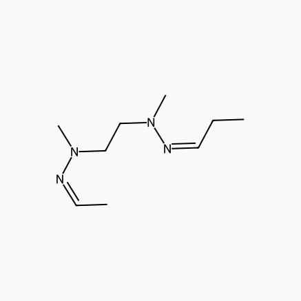 C/C=N\N(C)CCN(C)/N=C\CC